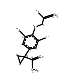 C=C(I)COc1c(I)cc(C2(C(=O)OC)CC2)cc1I